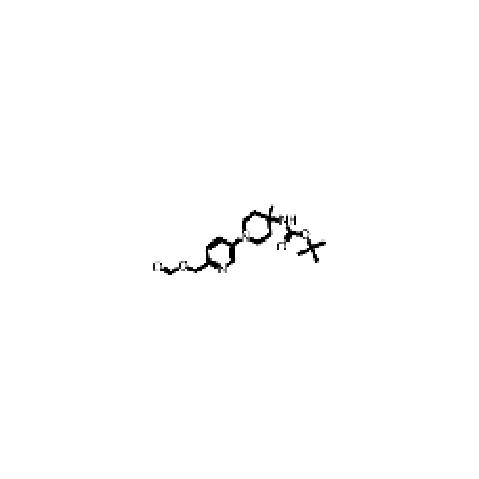 CC1(NC(=O)OC(C)(C)C)CCN(c2ccc(COC=O)nc2)CC1